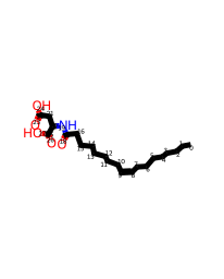 CCCCCCCC/C=C\CCCCCCCC(=O)NC(CC(=O)O)C(=O)O